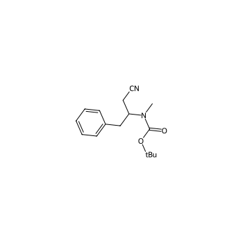 CN(C(=O)OC(C)(C)C)C(CC#N)Cc1ccccc1